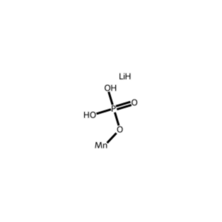 O=P(O)(O)[O][Mn].[LiH]